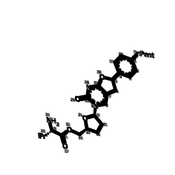 CCCCCc1ccc(C2Cc3cn([C@H]4CC[C@@H](COC(=O)[C@@H](N)C(C)C)O4)c(=O)nc3O2)cc1